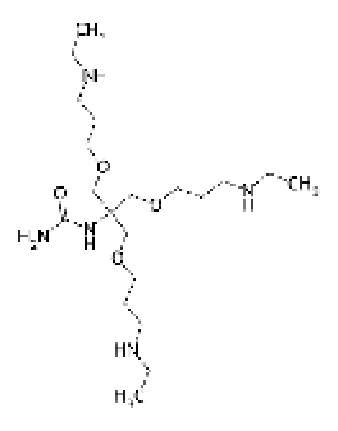 CCNCCCOCC(COCCCNCC)(COCCCNCC)NC(N)=O